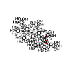 CC(OOCc1cc(O)c(O)c(O)c1)[C@H](OC(=O)c1cc(O)c(O)c(O)c1Oc1cc(C(=O)O[C@@H]2OC(COC(=O)c3cc(O)c(O)c(O)c3)[C@@H](OC(=O)c3cc(O)c(O)c(O)c3)C(OC(=O)c3cc(O)c(O)c(O)c3)C2OC(=O)c2cc(O)c(O)c(O)c2)cc(O)c1O)OC(COC(=O)c1cc(O)c(O)c(O)c1)[C@H](COC(=O)c1cc(O)c(O)c(O)c1)OC(=O)c1cc(O)c(O)c(O)c1